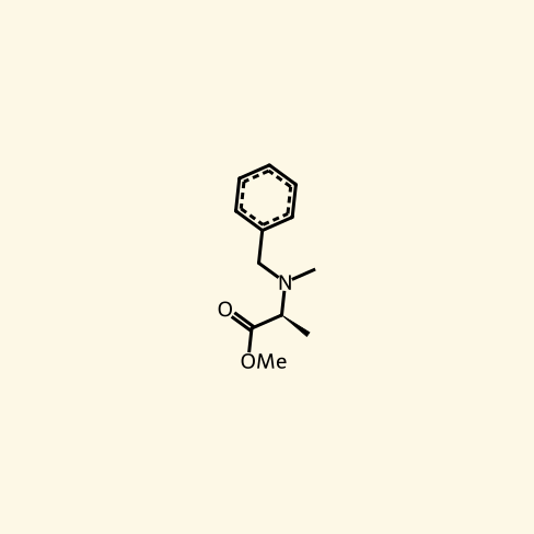 COC(=O)[C@H](C)N(C)Cc1ccccc1